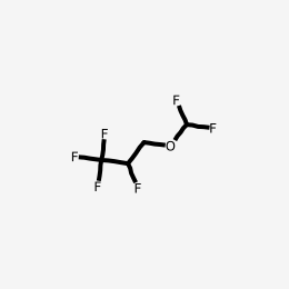 FC(F)OCC(F)C(F)(F)F